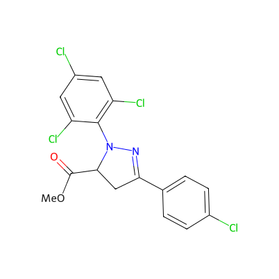 COC(=O)C1CC(c2ccc(Cl)cc2)=NN1c1c(Cl)cc(Cl)cc1Cl